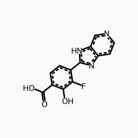 O=C(O)c1ccc(-c2nc3ccncc3[nH]2)c(F)c1O